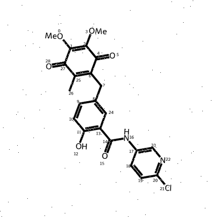 COC1=C(OC)C(=O)C(Cc2ccc(O)c(C(=O)Nc3ccc(Cl)nc3)c2)=C(C)C1=O